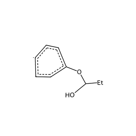 CCC(O)Oc1cc[c]cc1